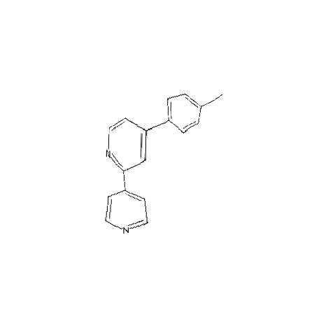 Cc1ccc(-c2ccnc(-c3ccncc3)c2)cc1